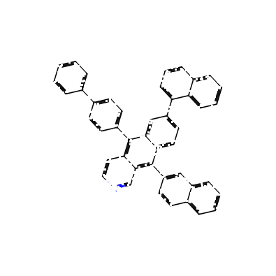 c1ccc(-c2ccc(-c3c4ccncc4c(-c4ccc5ccccc5c4)c4ccc(-c5cccc6ccccc56)cc34)cc2)cc1